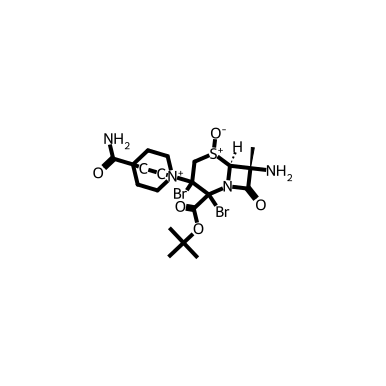 CC(C)(C)OC(=O)C1(Br)N2C(=O)[C@@](C)(N)[C@@H]2[S+]([O-])CC1(Br)[N+]12CCC(C(N)=O)(CC1)CC2